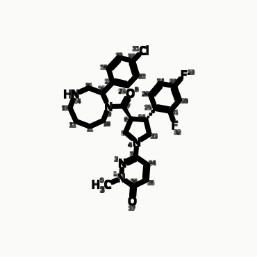 Cn1nc(N2C[C@@H](C(=O)N3CCCCNCC3c3ccc(Cl)cc3)[C@H](c3ccc(F)cc3F)C2)ccc1=O